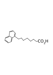 O=C(O)CCCCCCCc1cccc2ccccc12